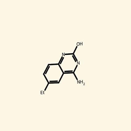 CCc1ccc2nc(O)nc(N)c2c1